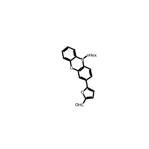 CCCCCCN1c2ccccc2Oc2cc(-c3ccc(C=O)o3)ccc21